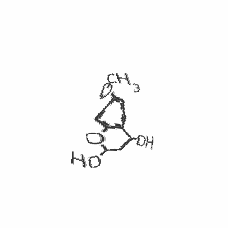 COc1ccc2c(c1)OC(O)C=C2O